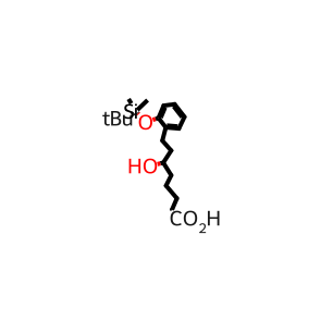 CC(C)(C)[Si](C)(C)Oc1ccccc1CCC(O)CCCCC(=O)O